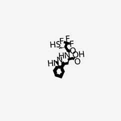 O=C(O)[C@@H](Cc1n[nH]c2ccccc12)NC(=O)[C@H](CS)C(F)(F)F